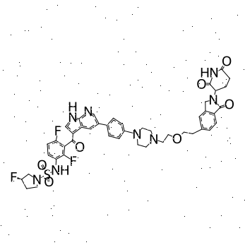 O=C1CCC(N2Cc3cc(CCOCCN4CCN(c5ccc(-c6cnc7[nH]cc(C(=O)c8c(F)ccc(NS(=O)(=O)N9CC[C@@H](F)C9)c8F)c7c6)cc5)CC4)ccc3C2=O)C(=O)N1